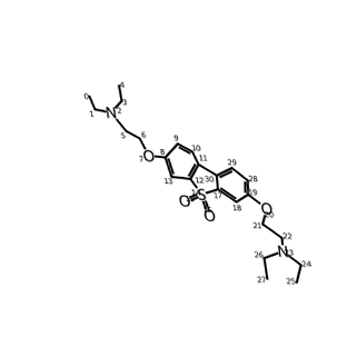 CCN(CC)CCOc1ccc2c(c1)S(=O)(=O)c1cc(OCCN(CC)CC)ccc1-2